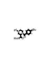 CNC(=O)C1CN(C(C)C)CCN1C(=O)c1ccc(C(C)(C)C)cc1